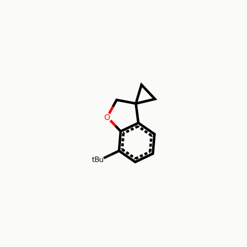 CC(C)(C)c1cccc2c1OCC21CC1